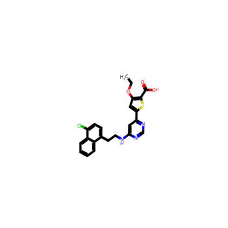 CCOc1cc(-c2cc(NCCc3ccc(Cl)c4ccccc34)ncn2)sc1C(=O)O